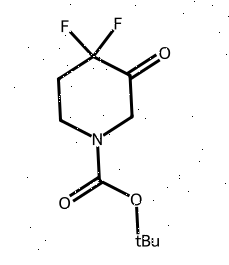 CC(C)(C)OC(=O)N1CCC(F)(F)C(=O)C1